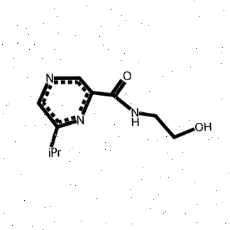 CC(C)c1cncc(C(=O)NCCO)n1